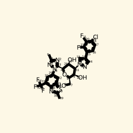 Cc1nc([C@@H]2O[C@H](CO)[C@H](O)[C@H](n3cc(-c4ccc(Cl)c(F)c4F)cn3)[C@H]2O)n(-c2cc(C(F)(F)F)c3nc(C)sc3c2)n1